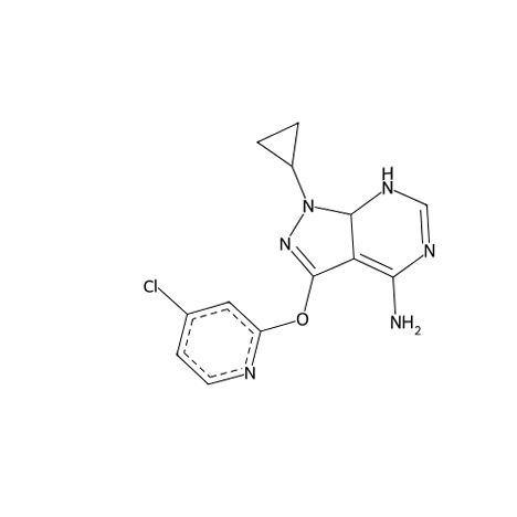 NC1=C2C(Oc3cc(Cl)ccn3)=NN(C3CC3)C2NC=N1